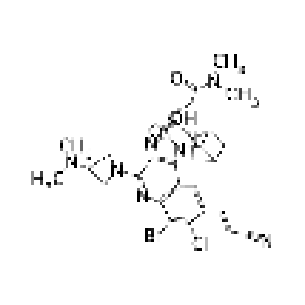 CN(C)C(=O)CCc1nc2c(N3CC(N(C)C)C3)nc3c(Br)c(Cl)c(C=CC#N)cc3c2n1C1C2CC1N(C(=O)O)C2